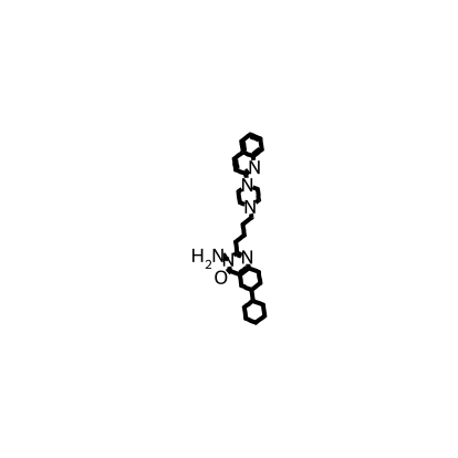 Nn1c(CCCCN2CCN(c3ccc4ccccc4n3)CC2)nc2c(c1=O)CC(C1CCCCC1)CC2